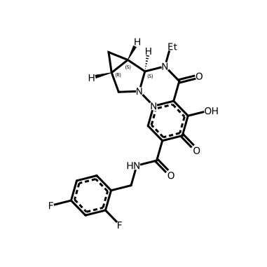 CCN1C(=O)c2c(O)c(=O)c(C(=O)NCc3ccc(F)cc3F)cn2N2C[C@@H]3C[C@@H]3[C@@H]12